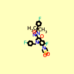 CC(C)(c1ccc(F)cc1)c1nc(-c2cn(Cc3ccc(F)cc3)c3cc(N4CCS(=O)(=O)CC4)c(F)cc3c2=O)no1